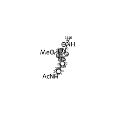 COCCS(=O)(=O)C(C(=O)NCC(=O)NC1CC1)c1nc2cc(-c3ccc(NC(C)=O)cc3)ccc2s1